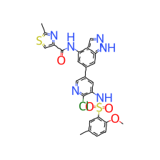 COc1ccc(C)cc1S(=O)(=O)Nc1cc(-c2cc(NC(=O)c3csc(C)n3)c3cn[nH]c3c2)cnc1Cl